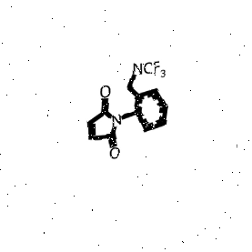 O=C1C=CC(=O)N1c1ccccc1CNC(F)(F)F